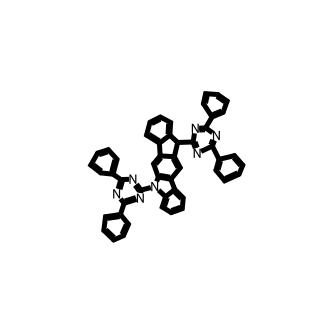 c1ccc(-c2nc(-c3ccccc3)nc(C3c4ccccc4-c4cc5c(cc43)c3ccccc3n5-c3nc(-c4ccccc4)nc(-c4ccccc4)n3)n2)cc1